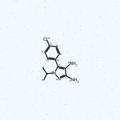 CC(C)n1nc(N)c(N)c1-c1ccc(Cl)cc1